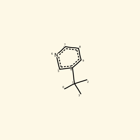 CC(C)(C)c1[c]n[c]cc1